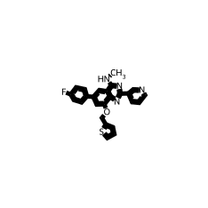 CNc1nc(-c2cccnc2)nc2c(OCc3cccs3)cc(-c3ccc(F)cc3)cc12